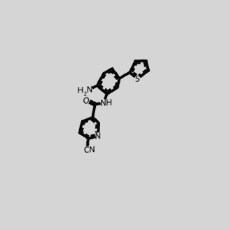 N#Cc1ccc(C(=O)Nc2cc(-c3cccs3)ccc2N)cn1